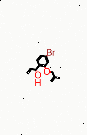 C=CC(O)c1ccc(Br)cc1OCC(=C)C